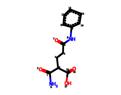 NC(=O)C(CCC(=O)Nc1ccccc1)C(=O)O